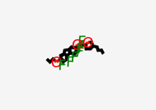 CCCCC1=CCC(C(F)(F)Oc2cc3c(c(F)c2F)-c2c(cc(OCCC)c(F)c2F)C3)OC1